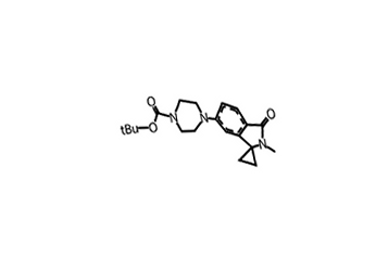 CN1C(=O)c2ccc(N3CCN(C(=O)OC(C)(C)C)CC3)cc2C12CC2